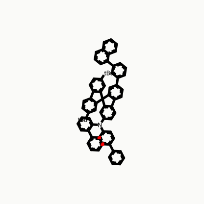 CC(C)(C)c1ccc2c(c1)C1(c3cc(-c4cccc(-c5cccc6ccccc56)c4)ccc3-c3ccc(N(c4ccc(-c5ccccc5)cc4)c4ccccc4-c4ccccc4)cc31)c1cc(C(C)(C)C)ccc1-2